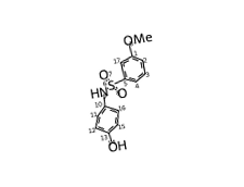 COc1cccc(S(=O)(=O)Nc2ccc(O)cc2)c1